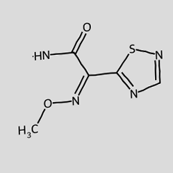 CON=C(C([NH])=O)c1ncns1